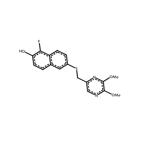 COc1ncc(CSc2ccc3c(F)c(O)ccc3c2)nc1OC